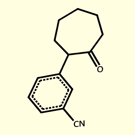 N#Cc1cccc(C2CCCCCC2=O)c1